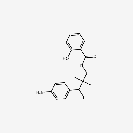 CC(C)(CNC(=O)c1ccccc1O)C(F)c1ccc(N)cc1